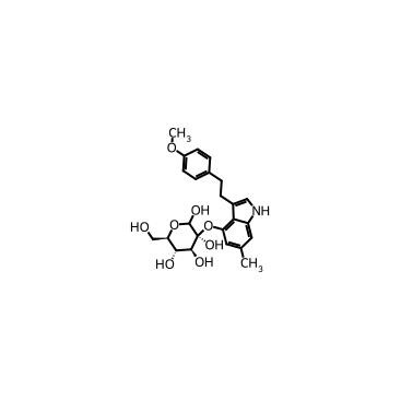 COc1ccc(CCc2c[nH]c3cc(C)cc(O[C@]4(O)C(O)O[C@H](CO)[C@@H](O)[C@@H]4O)c23)cc1